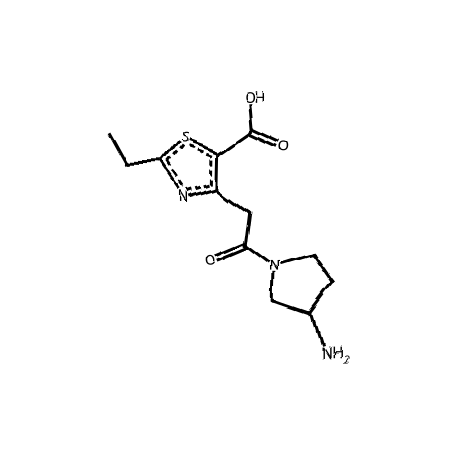 CCc1nc(CC(=O)N2CCC(N)C2)c(C(=O)O)s1